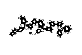 CCCCCCCCc1ccc(N(c2cccc(-c3cccc(-c4cccc(N(c5ccccc5)c5ccccc5)c4)c3)c2)c2cccc(-c3cccc(-c4cccc(N(c5ccccc5)c5ccc6c(c5)C(C)(C)c5ccccc5-6)c4)c3)c2)cc1